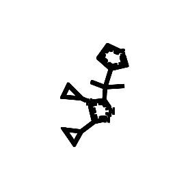 CC(C)(c1ccsc1)c1nnc(C2CC2)n1C1CC1